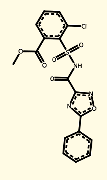 COC(=O)c1cccc(Cl)c1S(=O)(=O)NC(=O)c1noc(-c2ccccc2)n1